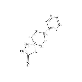 O=C1CC2(CCN(c3ccccc3)CC2)NN1